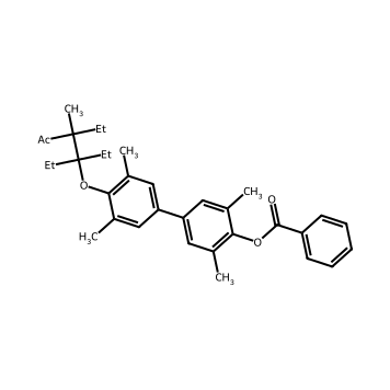 CCC(CC)(Oc1c(C)cc(-c2cc(C)c(OC(=O)c3ccccc3)c(C)c2)cc1C)C(C)(CC)C(C)=O